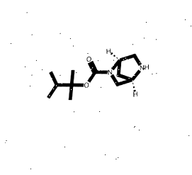 CC(C)C(C)(C)OC(=O)N1C[C@H]2C[C@@H]1CN2